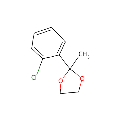 CC1(c2ccccc2Cl)OCCO1